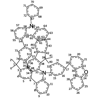 CC1(C)c2ccc(-c3ccccc3N(c3ccc(-c4cccc5oc6ccccc6c45)cc3)c3cccc4c3C(C)(C)c3ccccc3-4)cc2-c2ccc(-c3cccc4c3c3ccccc3n4-c3ccccc3)cc21